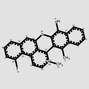 CCCc1c2c(c(C)c3ccccc13)-c1c3c(cc4cccc(F)c4c3cc[n+]1C)S2